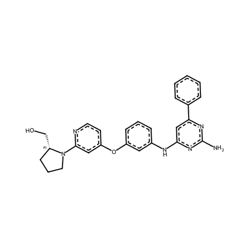 Nc1nc(Nc2cccc(Oc3ccnc(N4CCC[C@@H]4CO)c3)c2)cc(-c2ccccc2)n1